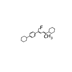 C/C(=C\C=C(/CF)c1ccc(C2CCCCC2)cc1)C1CCCCC1